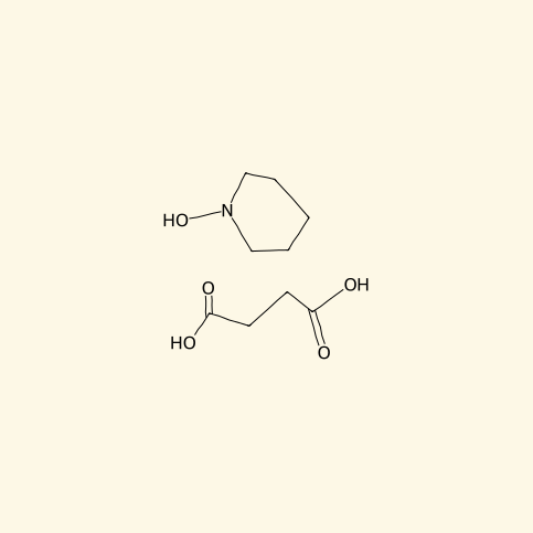 O=C(O)CCC(=O)O.ON1CCCCC1